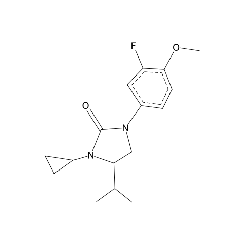 COc1ccc(N2CC(C(C)C)N(C3CC3)C2=O)cc1F